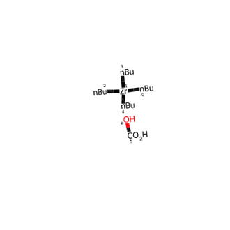 CCC[CH2][Zr]([CH2]CCC)([CH2]CCC)[CH2]CCC.O=C(O)O